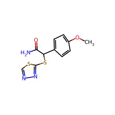 COc1ccc(C(Sc2nncs2)C(N)=O)cc1